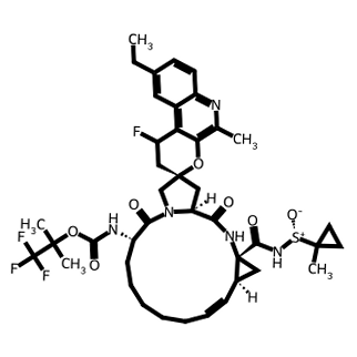 CCc1ccc2nc(C)c3c(c2c1)C(F)C[C@]1(C[C@H]2C(=O)N[C@]4(C(=O)N[S@+]([O-])C5(C)CC5)C[C@H]4/C=C\CCCCC[C@H](NC(=O)OC(C)(C)C(F)(F)F)C(=O)N2C1)O3